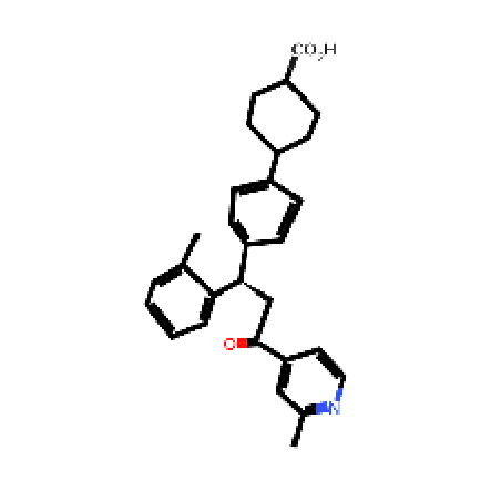 Cc1cc(C(=O)C[C@H](c2ccc(C3CCC(C(=O)O)CC3)cc2)c2ccccc2C)ccn1